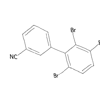 N#Cc1cccc(-c2c(Br)ccc(F)c2Br)c1